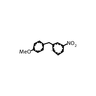 COc1ccc(Cc2[c]ccc([N+](=O)[O-])c2)cc1